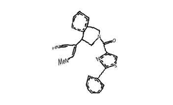 CN/C=C(\C=N)C1CN(C(=O)c2csc(-c3ccccc3)n2)Cc2ccccc21